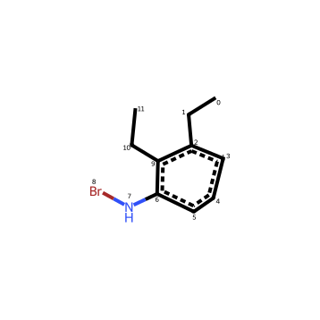 CCc1[c]ccc(NBr)c1CC